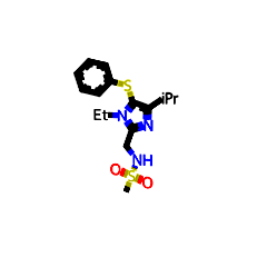 CCn1c(CNS(C)(=O)=O)nc(C(C)C)c1Sc1ccccc1